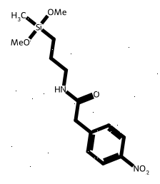 CO[Si](C)(CCCNC(=O)Cc1ccc([N+](=O)[O-])cc1)OC